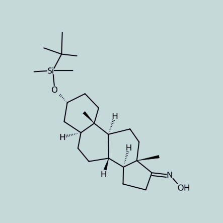 CC(C)(C)[Si](C)(C)O[C@@H]1CC[C@@]2(C)[C@@H](CC[C@@H]3[C@@H]2CC[C@]2(C)C(=NO)CC[C@@H]32)C1